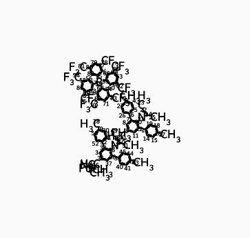 CC#N.Cc1ccc(-c2cc(C)cc(-c3ccc(C)cc3)c2N2C(C)C2C)cc1.Cc1ccc(-c2cc(C)cc(-c3ccc(C)cc3)c2N2C(C)C2C)cc1.FC(F)(F)c1cc([B-](c2cc(C(F)(F)F)cc(C(F)(F)F)c2)(c2cc(C(F)(F)F)cc(C(F)(F)F)c2)c2cc(C(F)(F)F)cc(C(F)(F)F)c2)cc(C(F)(F)F)c1.[CH3][Pd+]